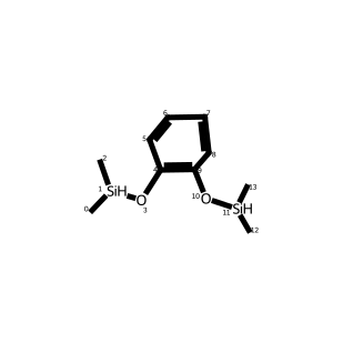 C[SiH](C)Oc1[c]cc[c]c1O[SiH](C)C